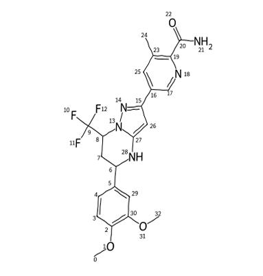 COc1ccc(C2CC(C(F)(F)F)n3nc(-c4cnc(C(N)=O)c(C)c4)cc3N2)cc1OC